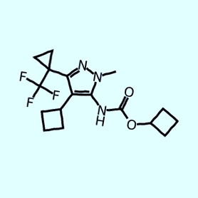 Cn1nc(C2(C(F)(F)F)CC2)c(C2CCC2)c1NC(=O)OC1CCC1